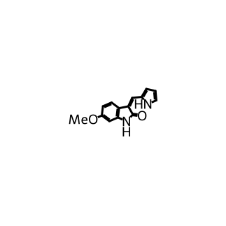 COc1ccc2c(c1)NC(=O)C2=Cc1ccc[nH]1